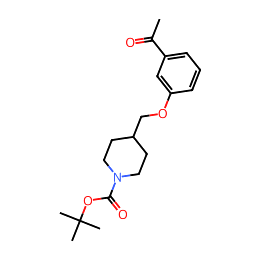 CC(=O)c1cccc(OCC2CCN(C(=O)OC(C)(C)C)CC2)c1